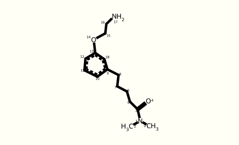 CN(C)C(=O)CCCCc1cccc(OCCN)c1